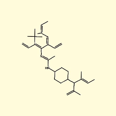 C=CC(=C/C(C)=C\C)/C(/N=C(\C)NC1CCC(C(C(=C)C)/C(C)=C/C)CC1)=C(/C=C)C(C)(C)C